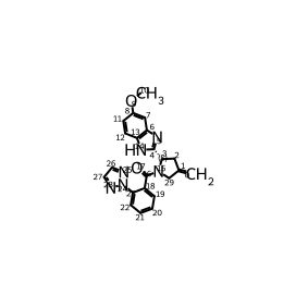 C=C1C[C@@H](c2nc3cc(OC)ccc3[nH]2)N(C(=O)c2ccccc2-n2nccn2)C1